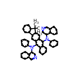 CC1(C)c2ccccc2-c2cc3c(N(c4ccccc4)c4cncc5ccccc45)c4ccccc4c(N(c4ccccc4)c4cncc5ccccc45)c3cc21